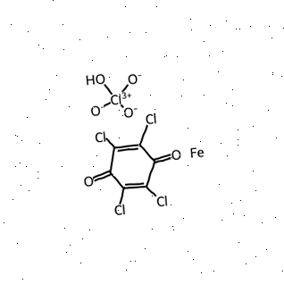 O=C1C(Cl)=C(Cl)C(=O)C(Cl)=C1Cl.[Fe].[O-][Cl+3]([O-])([O-])O